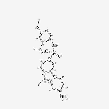 COc1ccc(NS(=O)(=O)c2ccc3c(c2)c2ccc(N)cc2n3C)c(OC)c1